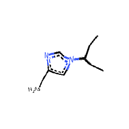 CC(C)n1cnc([AsH2])c1